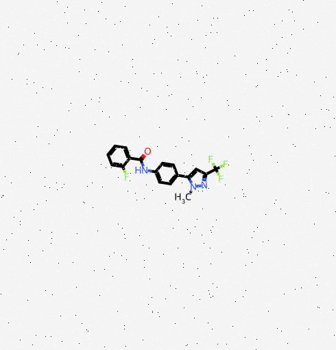 Cn1nc(C(F)(F)F)cc1-c1ccc(NC(=O)c2ccccc2F)cc1